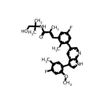 COc1cc(F)c(C)cc1-c1c[nH]c2ncc(-c3cc(F)cc(/C=C(\C)C(=O)NC(C)(C)CO)c3C)cc12